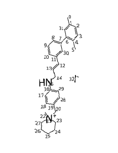 Cc1ccc(C)c(-c2cccc(/C=C/CNc3ccc(C[N+]4(C)CCCCC4)cc3)c2)c1.[I-]